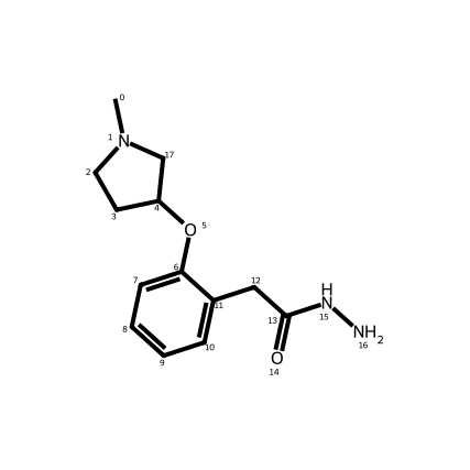 CN1CCC(Oc2ccccc2CC(=O)NN)C1